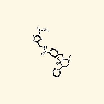 C[C@H]1CCC(c2ccccc2)S(=O)(=O)N1Cc1ccc(C(=O)NCc2noc(C(N)=O)n2)cc1